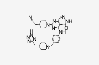 N#CCC1CCN(c2nc(Nc3ccc(CN4CCC(Cc5nn[nH]n5)CC4)cc3)c3c(=O)[nH]ncc3n2)CC1